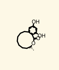 C[C@@H]1CCCCCCCc2cc(O)cc(O)c2C(=O)O1